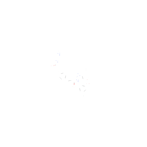 CCN1CCN(C(=O)COc2ccc(/C=c3\sc4n(c3=O)C(c3ccc(Cl)cc3)C(C(=O)OC(C)C)=C(C)N=4)cc2)CC1